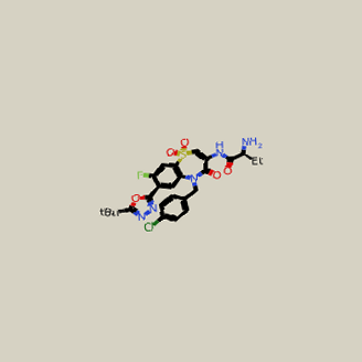 CC[C@H](N)C(=O)NC1=CS(=O)(=O)c2cc(F)c(-c3nnc(C(C)(C)C)o3)cc2N(Cc2ccc(Cl)cc2)C1=O